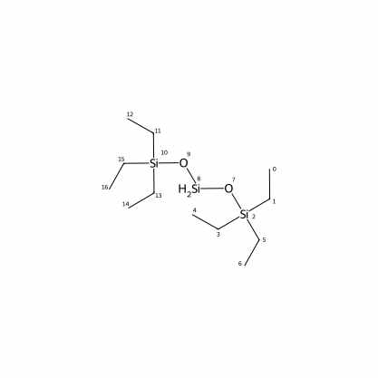 CC[Si](CC)(CC)O[SiH2]O[Si](CC)(CC)CC